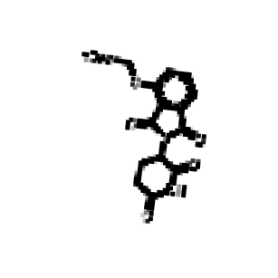 CCCCCCCCCCCOc1cccc2c1C(=O)N(C1CCC(=O)NC1=O)C2=O